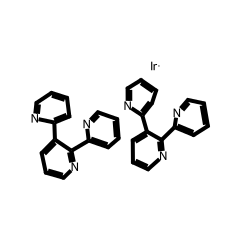 [Ir].c1ccc(-c2cccnc2-c2ccccn2)nc1.c1ccc(-c2cccnc2-c2ccccn2)nc1